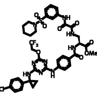 COC(=O)[C@H](CNC(=O)C(=O)Nc1cccc(S(=O)(=O)N2CCCCC2)c1)NC(=O)c1ccc(Nc2nc(NC3(c4ccc(Cl)cc4)CC3)nc(OCC(F)(F)F)n2)cc1